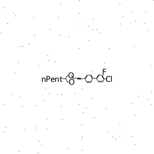 CCCCCC1COC(C#Cc2ccc(-c3ccc(Cl)c(F)c3)cc2)OC1